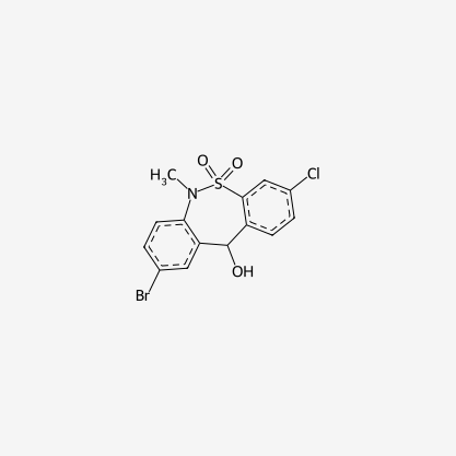 CN1c2ccc(Br)cc2C(O)c2ccc(Cl)cc2S1(=O)=O